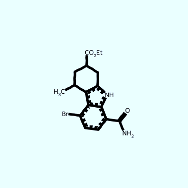 CCOC(=O)C1Cc2[nH]c3c(C(N)=O)ccc(Br)c3c2C(C)C1